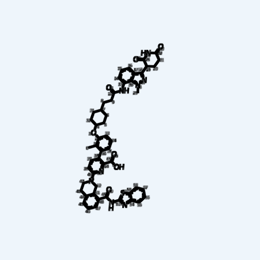 Cc1c(OC2CCC(CCC(=O)Nc3cccc4c(C5CCC(=O)NC5=O)nn(C)c34)CC2)cccc1-c1ccc(N2CCc3cccc(C(=O)Nc4nc5ccccc5s4)c3C2)nc1C(=O)O